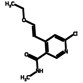 CCO/C=C/c1cc(Cl)ncc1C(=O)NC